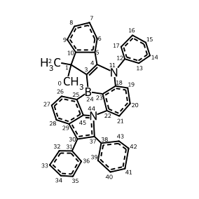 CC1(C)C2=C(c3ccccc31)N(c1ccccc1)c1cccc3c1B2c1cccc2c(-c4ccccc4)c(-c4ccccc4)n-3c12